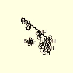 O=C=C(CCCC(NC(=O)NC(C(=O)O)C(=C=O)C(=C=O)C(=O)O)C(=O)O)NC(=O)CCCCCCCN(Cc1ccccn1)Cc1ccccn1.[Br][Re]([Br])([Br])[Br]